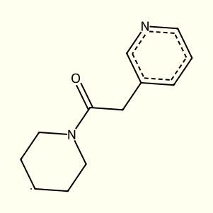 O=C(Cc1cccnc1)N1CC[CH]CC1